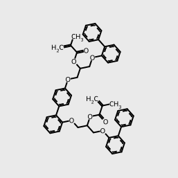 C=C(C)C(=O)OC(COc1ccc(-c2ccccc2OCC(COc2ccccc2-c2ccccc2)OC(=O)C(=C)C)cc1)COc1ccccc1-c1ccccc1